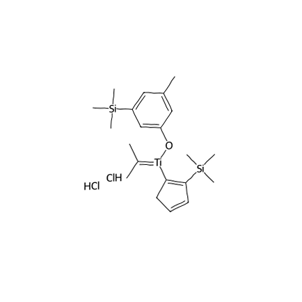 C[C](C)=[Ti]([O]c1cc(C)cc([Si](C)(C)C)c1)[C]1=C([Si](C)(C)C)C=CC1.Cl.Cl